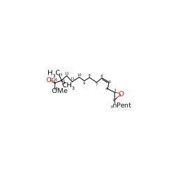 CCCCCC1OC1C/C=C\CCCCCCC(C)(C)C(=O)OC